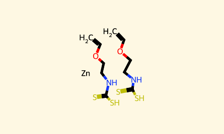 C=COCCNC(=S)S.C=COCCNC(=S)S.[Zn]